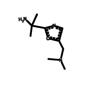 CN(C)Cc1cnc(C(C)(C)N)o1